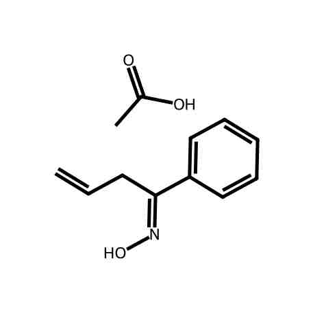 C=CCC(=NO)c1ccccc1.CC(=O)O